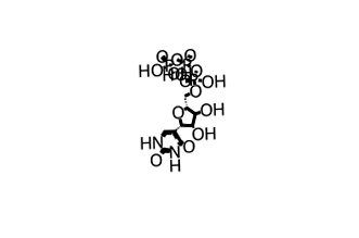 O=c1[nH]cc([C@@H]2O[C@H](COP(=O)(O)OP(=O)(O)OP(=O)(O)O)C(O)[C@@H]2O)c(=O)[nH]1